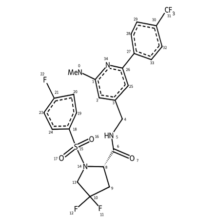 CNc1cc(CNC(=O)[C@@H]2CC(F)(F)CN2S(=O)(=O)c2ccc(F)cc2)cc(-c2ccc(C(F)(F)F)cc2)n1